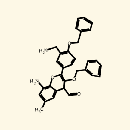 Cc1cc(N)c2c(c1)C(C=O)C(OCc1ccccc1)=C(c1ccc(OCc3ccccc3)c(CN)c1)O2